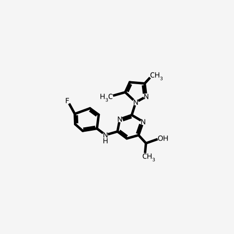 Cc1cc(C)n(-c2nc(Nc3ccc(F)cc3)cc(C(C)O)n2)n1